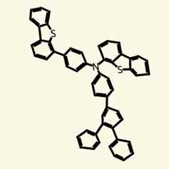 c1ccc(-c2ccc(-c3ccc(N(c4ccc(-c5cccc6c5sc5ccccc56)cc4)c4cccc5c4sc4ccccc45)cc3)cc2-c2ccccc2)cc1